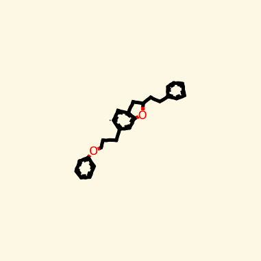 [c]1cc2c(cc1CCCOc1ccccc1)OC(CCc1ccccc1)C2